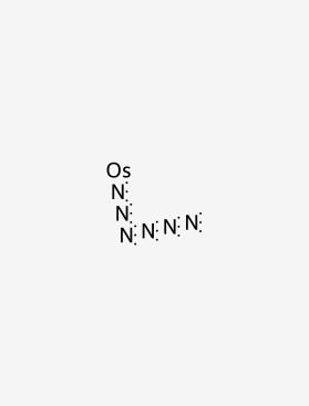 [N].[N].[N].[N].[N].[N].[Os]